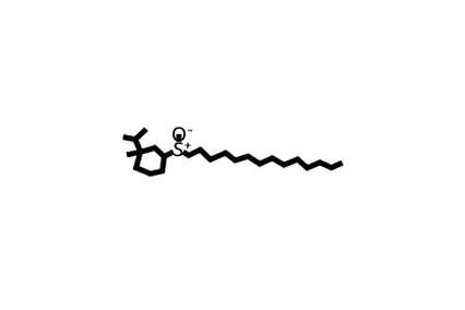 CCCCCCCCCCCCCC[S+]([O-])C1CCCC(C)(C(C)C)C1